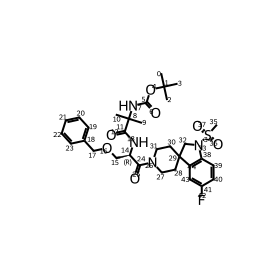 CC(C)(C)OC(=O)NC(C)(C)C(=O)N[C@H](COCc1ccccc1)C(=O)N1CCC2(CC1)CN(S(C)(=O)=O)c1ccc(F)cc12